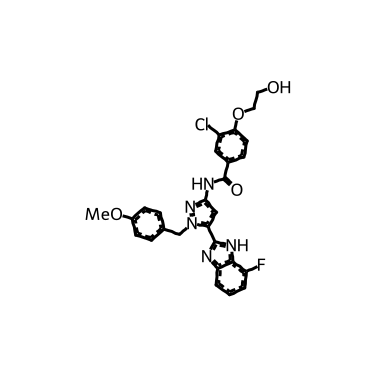 COc1ccc(Cn2nc(NC(=O)c3ccc(OCCO)c(Cl)c3)cc2-c2nc3cccc(F)c3[nH]2)cc1